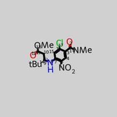 CNC(=O)c1cc([N+](=O)[O-])c(N[C@@H](CC(=O)OC)C(C)(C)C)cc1Cl